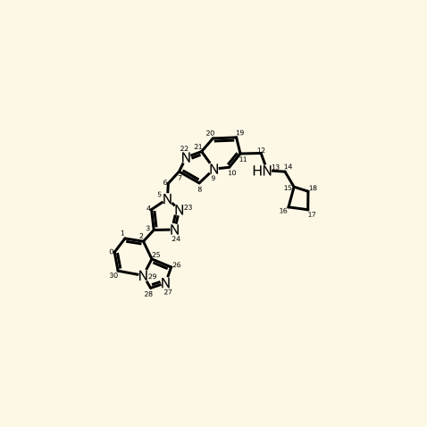 c1cc(-c2cn(Cc3cn4cc(CNCC5CCC5)ccc4n3)nn2)c2cncn2c1